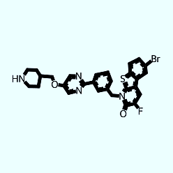 O=c1c(F)cc2c3cc(Br)ccc3sc2n1Cc1cccc(-c2ncc(OCC3CCNCC3)cn2)c1